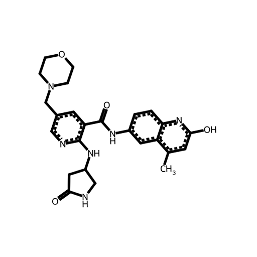 Cc1cc(O)nc2ccc(NC(=O)c3cc(CN4CCOCC4)cnc3NC3CNC(=O)C3)cc12